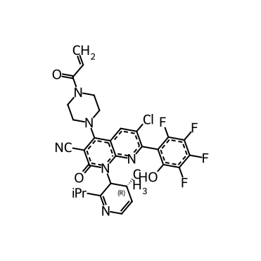 C=CC(=O)N1CCN(c2c(C#N)c(=O)n(C3C(C(C)C)=NC=C[C@H]3C)c3nc(-c4c(O)c(F)c(F)c(F)c4F)c(Cl)cc23)CC1